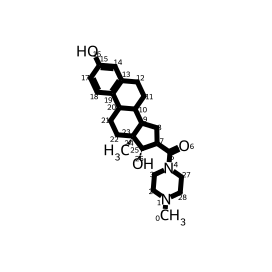 CN1CCN(C(=O)C2CC3C4CCc5cc(O)ccc5C4CC[C@]3(C)[C@H]2O)CC1